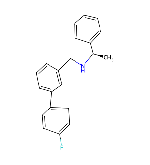 C[C@@H](NCc1cccc(-c2ccc(F)cc2)c1)c1ccccc1